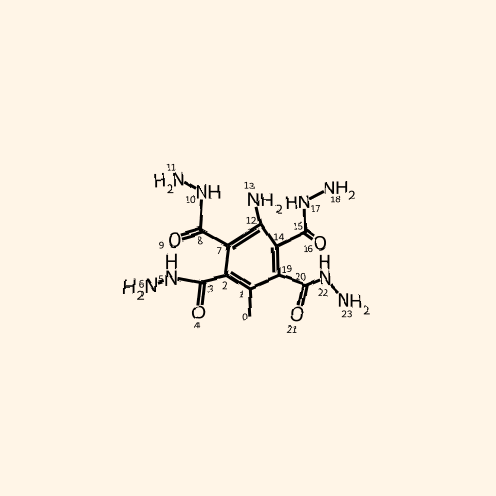 Cc1c(C(=O)NN)c(C(=O)NN)c(N)c(C(=O)NN)c1C(=O)NN